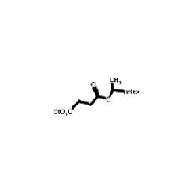 CCCCCCC(C)OC(=O)CCC(=O)OCC